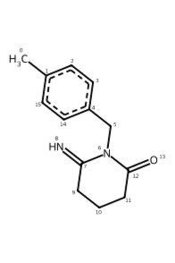 Cc1ccc(CN2C(=N)CCCC2=O)cc1